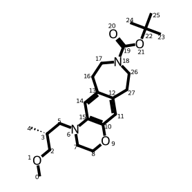 COC[C@H](C)CN1CCOc2cc3c(cc21)CCN(C(=O)OC(C)(C)C)CC3